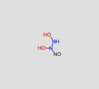 O=NN(O)NO